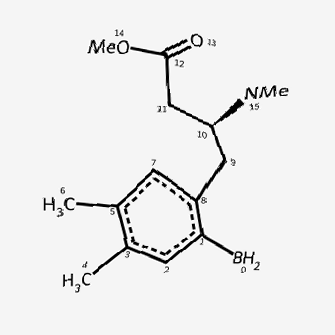 Bc1cc(C)c(C)cc1C[C@@H](CC(=O)OC)NC